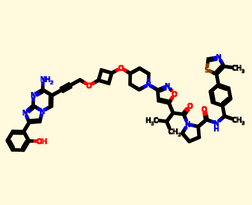 Cc1ncsc1-c1ccc(C(C)NC(=O)C2CCCN2C(=O)C(c2cc(N3CCC(OC4CC(OCC#Cc5cn6cc(-c7ccccc7O)nc6nc5N)C4)CC3)no2)C(C)C)cc1